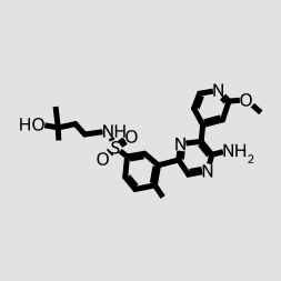 COc1cc(-c2nc(-c3cc(S(=O)(=O)NCCC(C)(C)O)ccc3C)cnc2N)ccn1